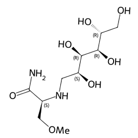 COC[C@H](NC[C@H](O)[C@@H](O)[C@H](O)[C@H](O)CO)C(N)=O